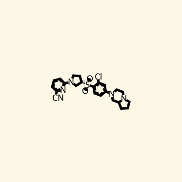 N#Cc1cccc(N2CC[C@H](S(=O)(=O)c3ccc(N4CCN5CCCC5C4)cc3Cl)C2)n1